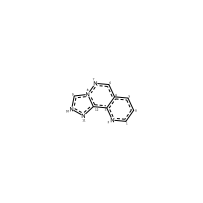 c1cnc2c(c1)cnn1cnnc21